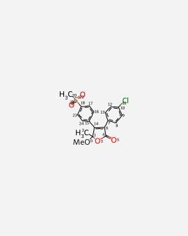 COC1(C)OC(=O)C(c2ccc(Cl)cc2)=C1c1ccc(S(C)(=O)=O)cc1